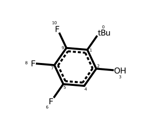 CC(C)(C)c1c(O)cc(F)c(F)c1F